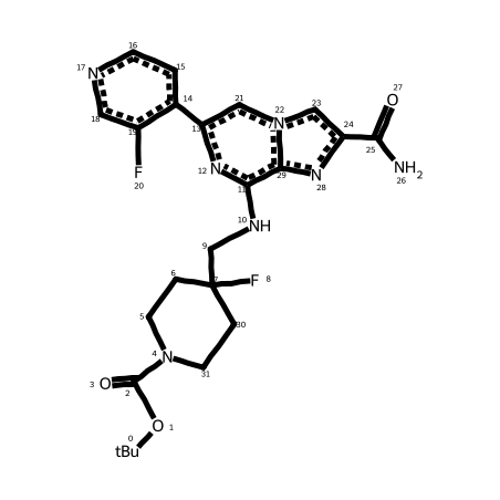 CC(C)(C)OC(=O)N1CCC(F)(CNc2nc(-c3ccncc3F)cn3cc(C(N)=O)nc23)CC1